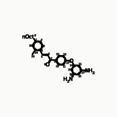 CCCCCCCCc1ccc(/C=C/C(=O)c2ccc(Oc3cc(N)cc(N)c3)cc2)c(C)c1